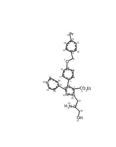 CCOC(=O)c1c(-c2ccc(OCc3ccc(C(C)C)cc3)cc2)c(-c2ccncc2)nn1CC(N)CO